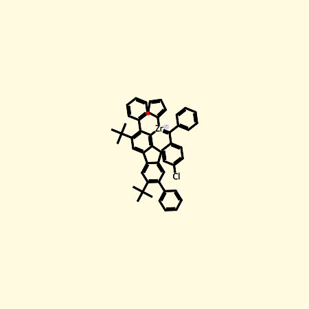 CC(C)(C)c1cc2c(cc1-c1ccccc1)Cc1c-2cc(C(C)(C)C)c(-c2ccccc2)[c]1/[Zr]([C]1=CC=CC1)=[C](/c1ccccc1)c1ccc(Cl)cc1